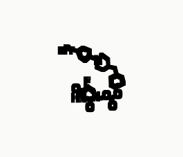 CCCc1ccc(N2CCC(Cc3ccc(OC(=O)OCn4cc(F)c(=O)[nH]c4=O)cc3)CC2)cc1